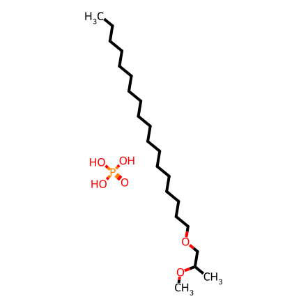 CCCCCCCCCCCCCCCCCCOCC(C)OC.O=P(O)(O)O